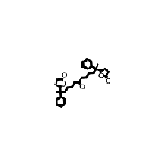 CC(CCCCC(=O)CCCCC(C)(c1ccccc1)C1CCC(=O)O1)(C1=CCC(=O)O1)c1ccccc1